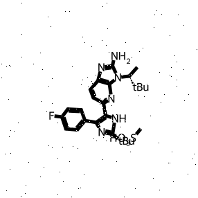 CS(=O)(=O)O.C[C@@H](n1c(N)nc2ccc(-c3[nH]c(C(C)(C)C)nc3-c3ccc(F)cc3)nc21)C(C)(C)C